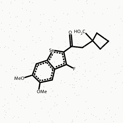 COc1cc2[se]c(C(=O)CC3(C(=O)O)CCC3)c(F)c2cc1OC